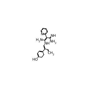 C=C/C(=C\N/C(N)=C(\C(=N)N)c1ccccn1)C1=CC=C(O)CC1